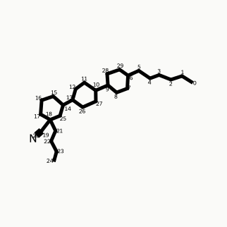 CCCCCCC1CCC(C2CCC(C3CCCC(C#N)(CCCC)C3)CC2)CC1